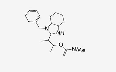 C=C(NC)OC(C)C(C)C1NC2CCCCC2N1CC1=CC=CCC1